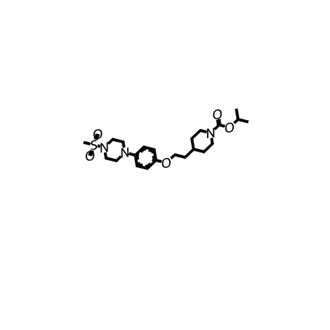 CC(C)OC(=O)N1CCC(CCOc2ccc(N3CCN(S(C)(=O)=O)CC3)cc2)CC1